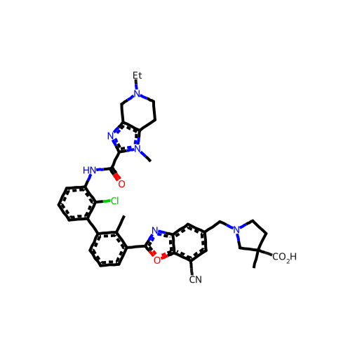 CCN1CCc2c(nc(C(=O)Nc3cccc(-c4cccc(-c5nc6cc(CN7CCC(C)(C(=O)O)C7)cc(C#N)c6o5)c4C)c3Cl)n2C)C1